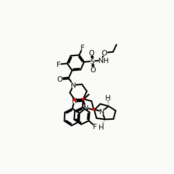 CCONS(=O)(=O)c1cc(C(=O)N2CCC(CCN3[C@@H]4CC[C@H]3CC(n3c(C)nc5ccccc53)C4)(c3cccc(F)c3)CC2)c(F)cc1F